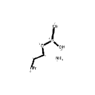 CCCCCOP(O)O.N